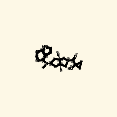 CN(c1ncnc2[nH]ccc12)[C@@H]1C[C@H]2CN(C(=O)C3(O)CC3)C[C@@]2(C)C1